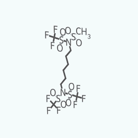 CS(=O)(=O)N(CCCCCCN(S(=O)(=O)C(F)(F)F)S(=O)(=O)C(F)(F)F)S(=O)(=O)C(F)(F)F